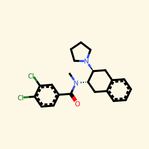 CN(C(=O)c1ccc(Cl)c(Cl)c1)[C@H]1Cc2ccccc2C[C@@H]1N1CCCC1